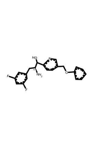 N[C@@H](Cc1cc(F)cc(F)c1)C(O)c1ccc(COc2ccccc2)cn1